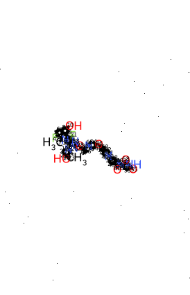 CCc1c(F)ccc2cc(O)cc(-c3ncc4c(N5CCC[C@@](C)(O)C5)nc(OCC5(CN6CCC(OC7CC8(CCN(c9ccc%10c(c9)CN(C9CCC(=O)NC9=O)C%10=O)CC8)C7)CC6)CC5)nc4c3F)c12